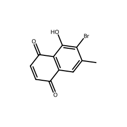 Cc1cc2c(c(O)c1Br)C(=O)C=CC2=O